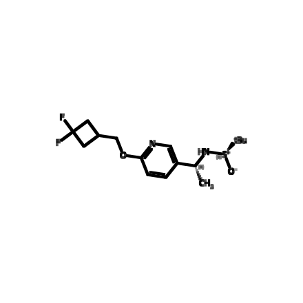 C[C@@H](N[S@+]([O-])C(C)(C)C)c1ccc(OCC2CC(F)(F)C2)nc1